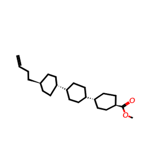 C=CCC[C@H]1CC[C@H](C2CCC([C@H]3CC[C@H](C(=O)OC)CC3)CC2)CC1